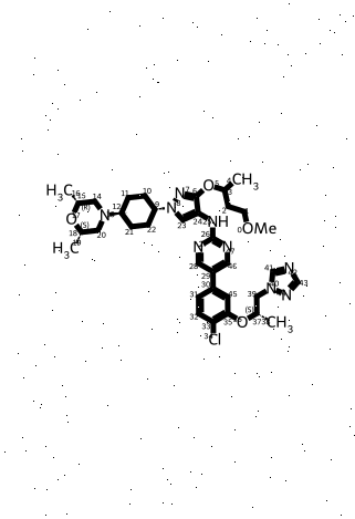 COCCC(C)Oc1nn([C@H]2CC[C@H](N3C[C@@H](C)O[C@@H](C)C3)CC2)cc1Nc1ncc(-c2ccc(Cl)c(O[C@@H](C)Cn3cncn3)c2)cn1